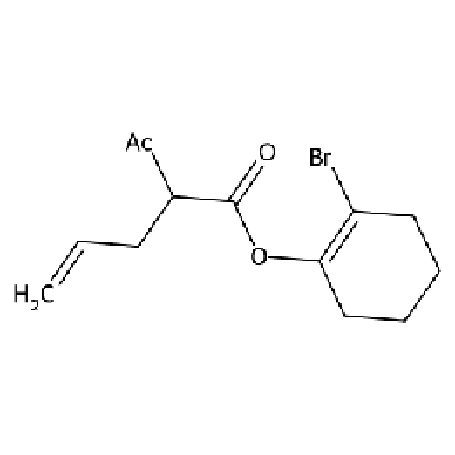 C=CCC(C(C)=O)C(=O)OC1=C(Br)CCCC1